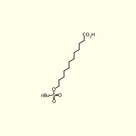 CCCCS(=O)(=O)OCCCCCCCCCCCC(=O)O